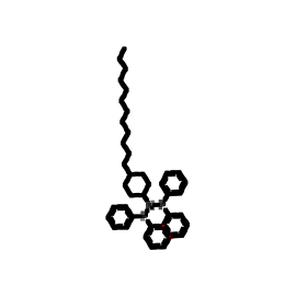 CCCCCCCCCCCCC1CCC(N(P(c2ccccc2)c2ccccc2)P(c2ccccc2)c2ccccc2)CC1